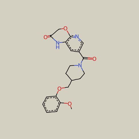 COc1ccccc1OCC1CCN(C(=O)c2cnc3c(c2)NC(=O)CO3)CC1